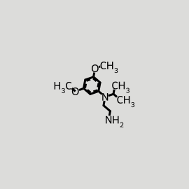 COc1cc(OC)cc(N(CCN)C(C)C)c1